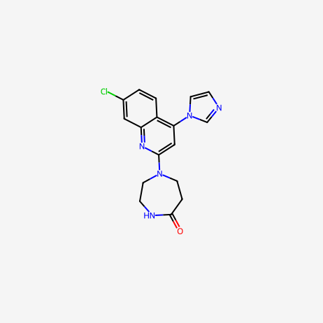 O=C1CCN(c2cc(-n3ccnc3)c3ccc(Cl)cc3n2)CCN1